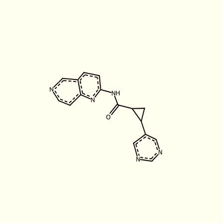 O=C(Nc1ccc2cnccc2n1)C1CC1c1cncnc1